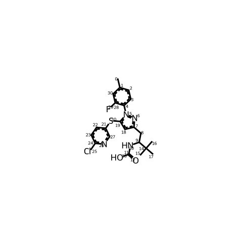 Cc1ccc(-n2nc(CC(NC(=O)O)C(C)(C)C)cc2Sc2ccc(Cl)nc2)c(F)c1